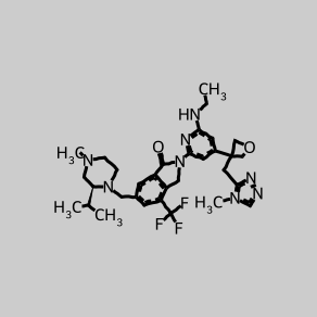 CCNc1cc(C2(Cc3nncn3C)COC2)cc(N2Cc3c(cc(CN4CCN(C)C[C@@H]4C(C)C)cc3C(F)(F)F)C2=O)n1